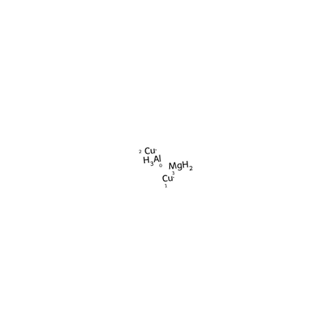 [AlH3].[Cu].[Cu].[MgH2]